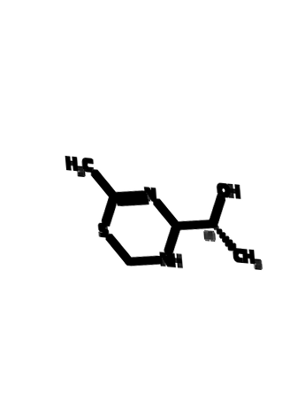 CC1=NC([C@@H](C)O)NCS1